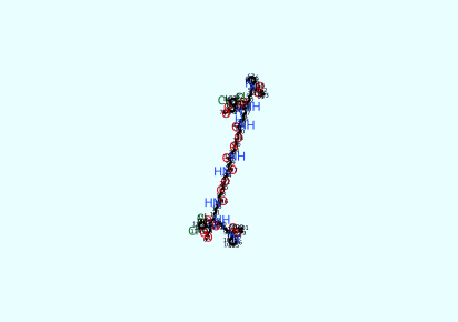 COC(=O)CC(NC(=O)[C@H](CCCCNC(=O)CCOCCOCCNC(=O)CCC(=O)NCCOCCOCCC(=O)NCCCC[C@H](NC(=O)CCCCN(C(=O)OC(C)(C)C)c1ccccn1)C(=O)NC(CC(=O)OC)c1cc(Cl)cc(Cl)c1)NC(=O)CCCCN(C(=O)OC(C)(C)C)c1ccccn1)c1cc(Cl)cc(Cl)c1